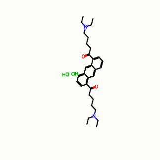 CCN(CC)CCCCC(=O)c1cccc2cc3c(C(=O)CCCCN(CC)CC)cccc3cc12.Cl.Cl